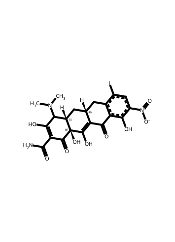 CN(C)C1C(O)=C(C(N)=O)C(=O)[C@@]2(O)C(O)=C3C(=O)c4c(O)c([N+](=O)[O-])cc(I)c4C[C@H]3C[C@@H]12